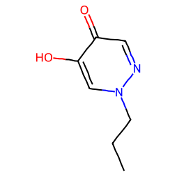 CCCn1cc(O)c(=O)cn1